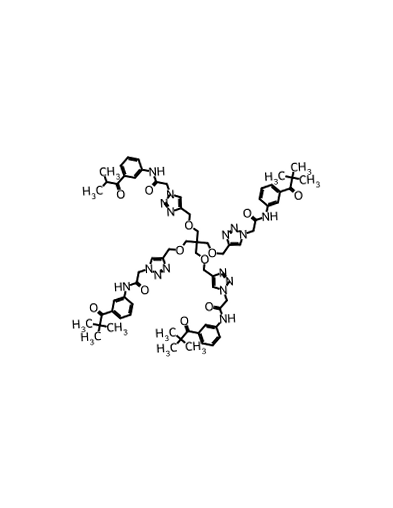 CC(C)C(=O)c1cccc(NC(=O)Cn2cc(COCC(COCc3cn(CC(=O)Nc4cccc(C(=O)C(C)(C)C)c4)nn3)(COCc3cn(CC(=O)Nc4cccc(C(=O)C(C)(C)C)c4)nn3)COCc3cn(CC(=O)Nc4cccc(C(=O)C(C)(C)C)c4)nn3)nn2)c1